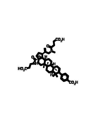 C=C(CN(C)C(=O)CCC(=O)O)[C@@H]1CC[C@]2(C(=O)NCCC(=O)O)CC[C@]3(C)[C@H](CC[C@@H]4[C@@]5(C)CC=C(c6ccc(C(=O)O)cc6)C(C)(C)[C@@H]5CC[C@]43C)[C@@H]12